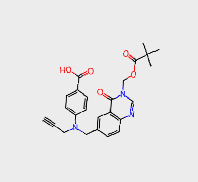 C#CCN(Cc1ccc2ncn(COC(=O)C(C)(C)C)c(=O)c2c1)c1ccc(C(=O)O)cc1